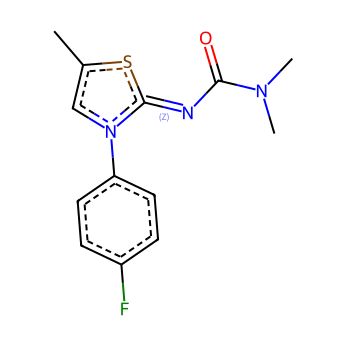 Cc1cn(-c2ccc(F)cc2)/c(=N/C(=O)N(C)C)s1